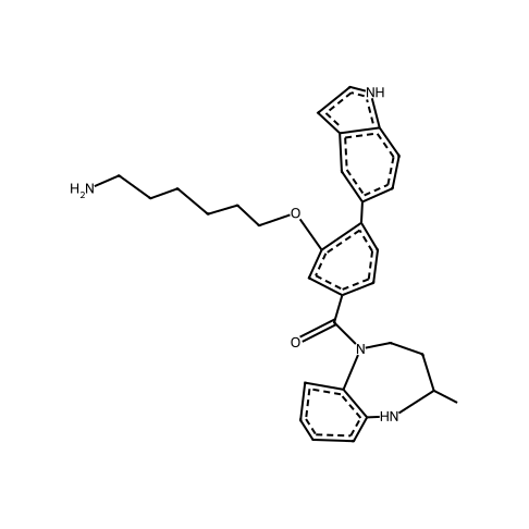 CC1CCN(C(=O)c2ccc(-c3ccc4[nH]ccc4c3)c(OCCCCCCN)c2)c2ccccc2N1